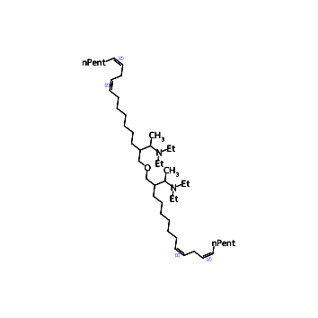 CCCCC/C=C\C/C=C\CCCCCCC(COCC(CCCCCC/C=C\C/C=C\CCCCC)C(C)N(CC)CC)C(C)N(CC)CC